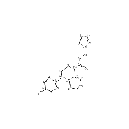 O=C(CCn1ccnc1)N1CCN(c2ccc(F)cc2)c2ccccc21